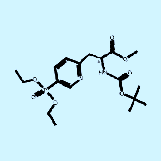 CCOP(=O)(OCC)c1ccc(C[C@H](NC(=O)OC(C)(C)C)C(=O)OC)nc1